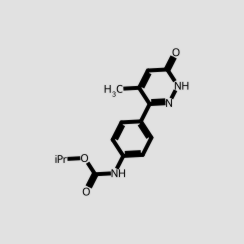 Cc1cc(=O)[nH]nc1-c1ccc(NC(=O)OC(C)C)cc1